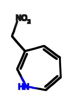 O=[N+]([O-])CC1=CNC=CC=C1